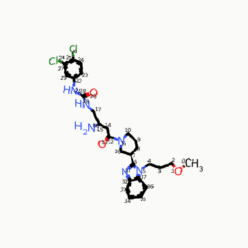 COCCCn1c([C@@H]2CCCN(C(=O)C[C@@H](N)CNC(=O)Nc3ccc(Cl)c(Cl)c3)C2)nc2ccccc21